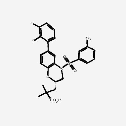 CC(C)(C[C@H]1CN(S(=O)(=O)c2cccc(C(F)(F)F)c2)c2cc(-c3cccc(F)c3F)ccc2O1)C(=O)O